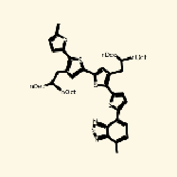 CCCCCCCCCCC(CCCCCCCC)Cc1cc(-c2cc(CC(CCCCCCCC)CCCCCCCCCC)c(-c3ccc(-c4ccc(C)c5nsnc45)s3)s2)sc1-c1ccc(C)s1